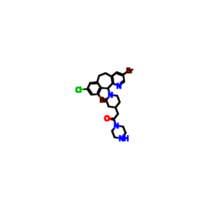 O=C(CC1CCN(C2c3ncc(Br)cc3CCc3cc(Cl)cc(Br)c32)CC1)N1CCNCC1